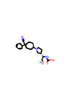 CCC(NC(=O)O)[C@@H]1CCN(C2CCC(C#N)(c3ccccc3)CC2)C1